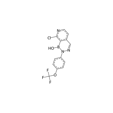 OB1c2c(ccnc2Cl)C=NN1c1ccc(OC(F)(F)F)cc1